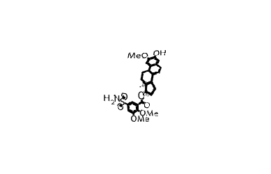 COc1cc2c(cc1O)CCC1C2CC[C@@]2(C)C1CC[C@@H]2OC(=O)c1cc(S(N)(=O)=O)cc(OC)c1OC